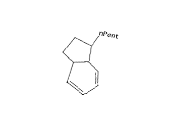 CCCCCC1CCC2C=CC=CC21